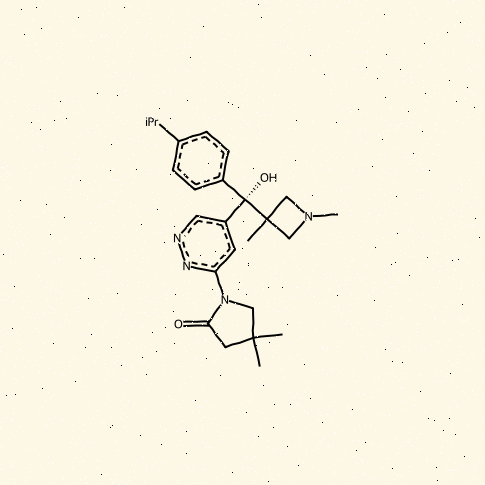 CC(C)c1ccc([C@](O)(c2cnnc(N3CC(C)(C)CC3=O)c2)C2(C)CN(C)C2)cc1